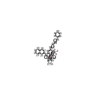 CC(C)(C)OC(=O)ON1C2CCC1C(OCc1ccc3ccccc3c1)C(c1ccc(COCCOCc3ccccc3)cc1)C2